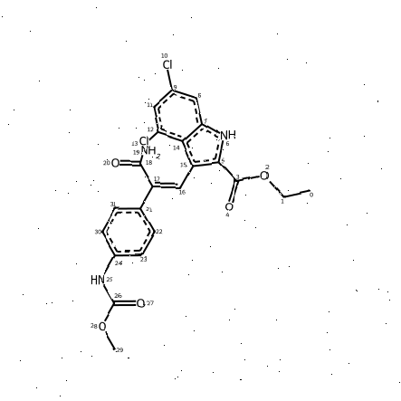 CCOC(=O)c1[nH]c2cc(Cl)cc(Cl)c2c1/C=C(\C(N)=O)c1ccc(NC(=O)OC)cc1